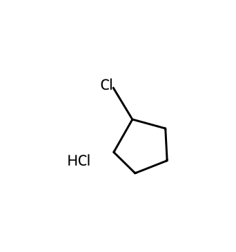 Cl.ClC1CCCC1